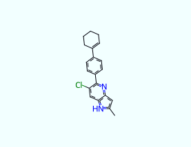 Cc1cc2nc(-c3ccc(C4=CCCCC4)cc3)c(Cl)cc2[nH]1